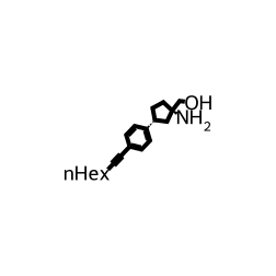 CCCCCCC#Cc1ccc([C@@H]2CC[C@](N)(CO)C2)cc1